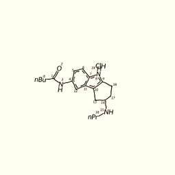 CCCCC(=O)Nc1ccc2[nH]c3c(c2c1)CC(NCCC)CC3.Cl